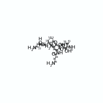 CN[C@@H]1[C@@H](O)[C@@H](O[C@@H]2[C@@H](O)[C@H](O[C@@H]3CCC=C(CNCC4(O)CC(N)C4)O3)[C@@H](N)C[C@H]2NC(=O)CCCN)OC[C@H]1C